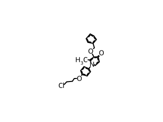 Cc1c(OCc2ccccc2)c(=O)ccn1-c1ccc(OCCCCl)cc1